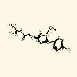 CC(C)OC(=O)COc1nc(-c2ccc(Cl)cn2)n(O)n1